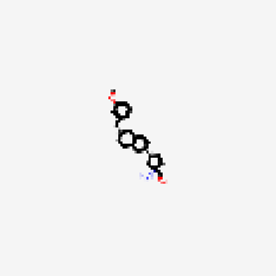 COc1cccc(C[C@@H]2CCc3cc([C@H]4CC[C@](N)(CO)C4)ccc3C2)c1